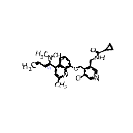 C=C/C=C(/c1cc(C)nc2c(OCc3c(Cl)cncc3CNC(=O)C3CC3)cccc12)N(C)C